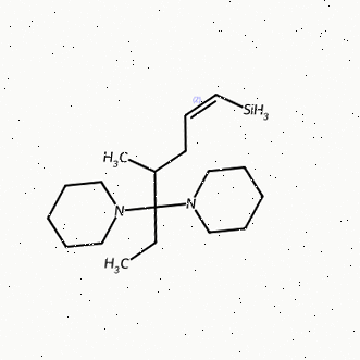 CCC(C(C)C/C=C\[SiH3])(N1CCCCC1)N1CCCCC1